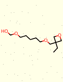 CCC1(COCCCCCOCO)COC1